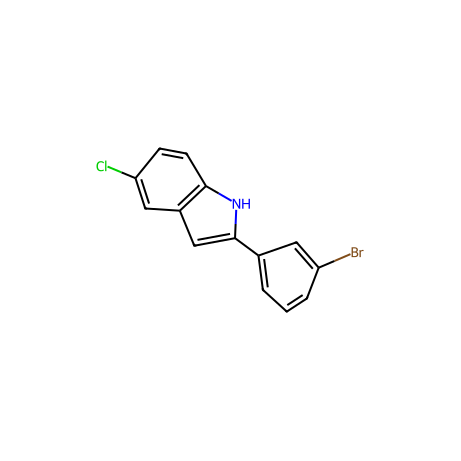 Clc1ccc2[nH]c(-c3cccc(Br)c3)cc2c1